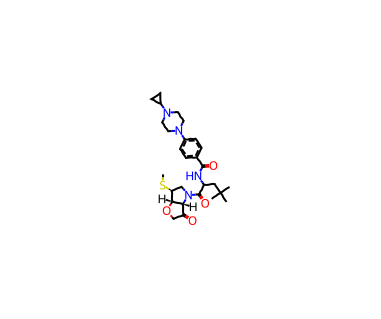 CS[C@H]1CN(C(=O)C(CC(C)(C)C)NC(=O)c2ccc(N3CCN(C4CC4)CC3)cc2)[C@@H]2C(=O)CO[C@H]12